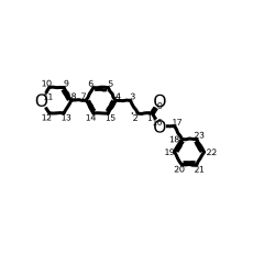 O=C([CH]Cc1ccc(C2=CCOCC2)cc1)OCc1ccccc1